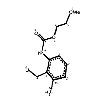 COCCOC(=O)Nc1cccc(C)c1CCl